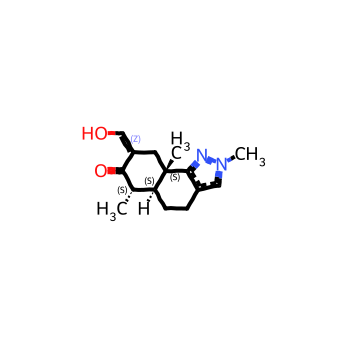 C[C@@H]1C(=O)/C(=C\O)C[C@]2(C)c3nn(C)cc3CC[C@@H]12